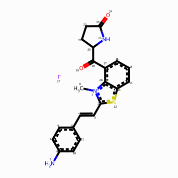 C[n+]1c(C=Cc2ccc(N)cc2)sc2cccc(C(=O)C3CCC(=O)N3)c21.[I-]